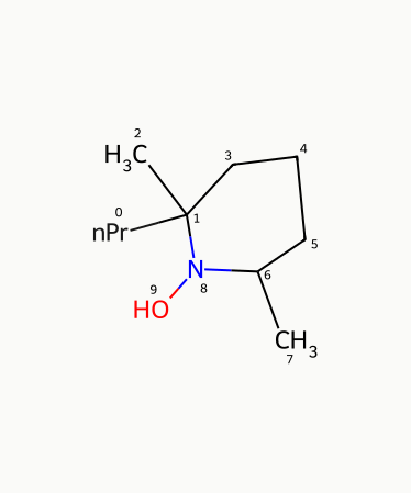 CCCC1(C)CCCC(C)N1O